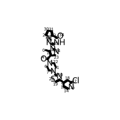 Cc1c(C(=O)N2CCN(c3nc(-c4ccnc(Cl)c4)cs3)CC2)cnn1-c1nn2cccc2c(=O)[nH]1